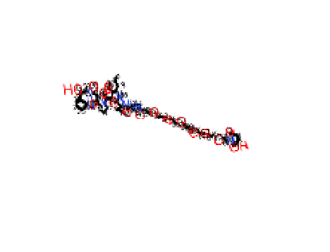 CC[C@H](C)[C@@H]([C@@H](CC(=O)N1CCC[C@H]1[C@H](OC)[C@@H](C)C(=O)N[C@H](C)[C@@H](O)c1ccccc1)OC)N(C)C(=O)[C@@H](NC(=O)C(C)(C)N(C)C(=O)CCOCCOCCOCCOCCOCCOCCN1C(=O)C=CC1O)C(C)C